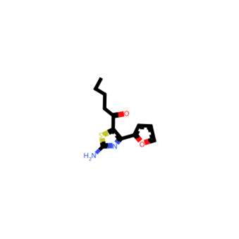 CCCCC(=O)c1sc(N)nc1-c1ccco1